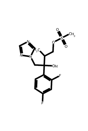 CC(COS(C)(=O)=O)C(O)(Cn1cncn1)c1ccc(F)cc1F